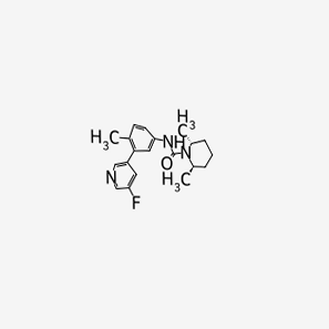 Cc1ccc(NC(=O)N2[C@H](C)CCC[C@H]2C)cc1-c1cncc(F)c1